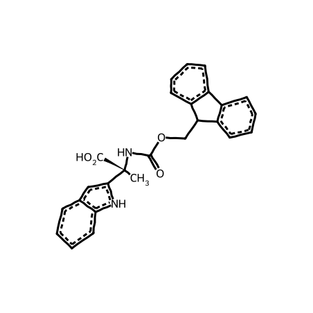 C[C@](NC(=O)OCC1c2ccccc2-c2ccccc21)(C(=O)O)c1cc2ccccc2[nH]1